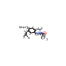 COc1cc(CC(C)NC(=O)C(F)(F)F)c(OC)cc1C=C(C)C